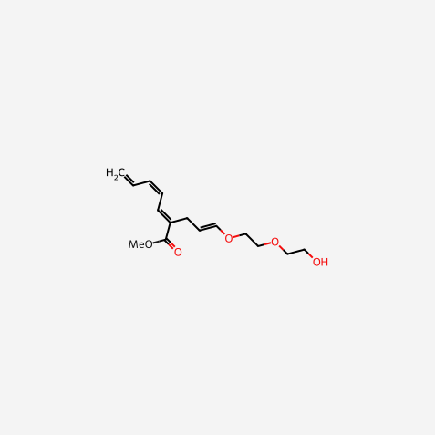 C=C/C=C\C=C(/C/C=C/OCCOCCO)C(=O)OC